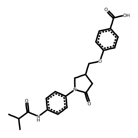 CC(C)C(=O)Nc1ccc(N2CC(COc3ccc(C(=O)O)cc3)CC2=O)cc1